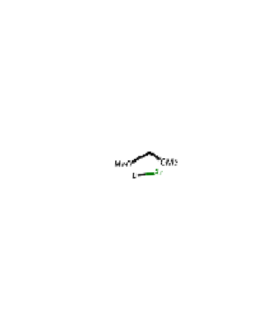 COCOC.[Li][Br]